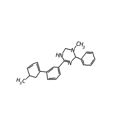 CC1C=CC=C(c2cccc(C3=NC(c4ccccc4)N(C)CN3)c2)C1